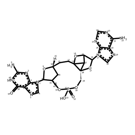 Nc1nc2c(ncn2C2O[C@@H]3CCC45OC6C(n7cnc8c(N)ncnc87)O[C@]4(COP(=O)(O)O[C@H]2C3)C65)c(=O)[nH]1